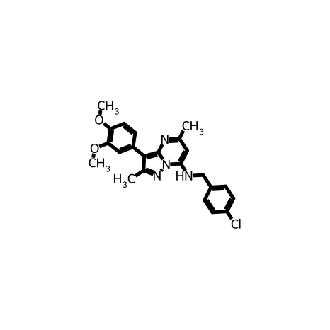 COc1ccc(-c2c(C)nn3c(NCc4ccc(Cl)cc4)cc(C)nc23)cc1OC